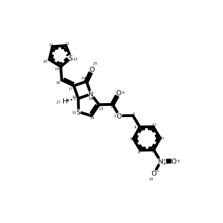 O=C(OCc1ccc([N+](=O)[O-])cc1)C1=CS[C@H]2C(=Cc3cccs3)C(=O)N12